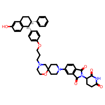 O=C1CCC(N2C(=O)c3ccc(N4CCC5(CC4)CN(CCCOc4ccc([C@@H]6c7ccc(O)cc7CC[C@@H]6c6ccccc6)cc4)CCO5)cc3C2=O)C(=O)N1